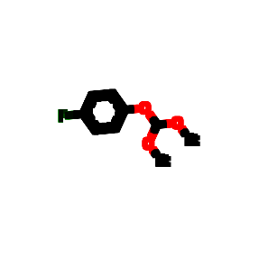 CCOC(OCC)Oc1ccc(F)cc1